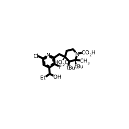 CCC(O)c1cc(Cl)nc(C[C@]2(C(=O)O)CCN(C(=O)O)[C@@](C)(C(C)(C)C)C2C(C)(C)C)c1F